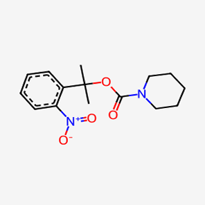 CC(C)(OC(=O)N1CCCCC1)c1ccccc1[N+](=O)[O-]